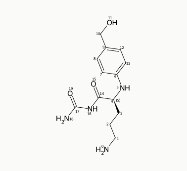 NCCC[C@H](Nc1ccc(CO)cc1)C(=O)NC(N)=O